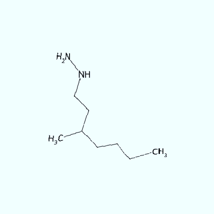 CCCCC(C)CCNN